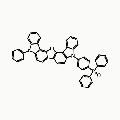 O=P(c1ccccc1)(c1ccccc1)c1ccc(-n2c3ccccc3c3c4oc5c(ccc6c5c5ccccc5n6-c5ccccc5)c4ccc32)cc1